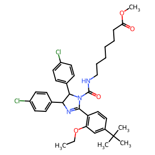 CCOc1cc(C(C)(C)C)ccc1C1=NC(c2ccc(Cl)cc2)C(c2ccc(Cl)cc2)N1C(=O)NCCCCCCC(=O)OC